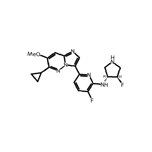 COc1cc2ncc(-c3ccc(F)c(N[C@@H]4CNC[C@H]4F)n3)n2nc1C1CC1